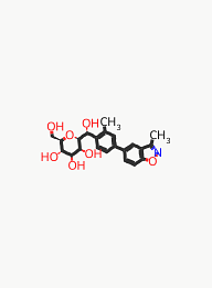 Cc1cc(-c2ccc3onc(C)c3c2)ccc1[C@@H](O)[C@H]1O[C@H](CO)[C@@H](O)[C@H](O)[C@@H]1O